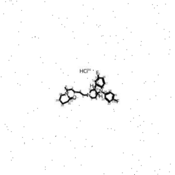 CC(CCCCN1CC[C@@H]2[C@@H](C1)c1cc(F)ccc1N2c1ccc(F)cc1)N1CCCCC1=O.Cl